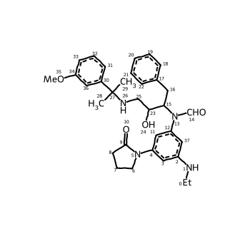 CCNc1cc(N2CCCC2=O)cc(N(C=O)C(Cc2ccccc2)C(O)CNC(C)(C)c2cccc(OC)c2)c1